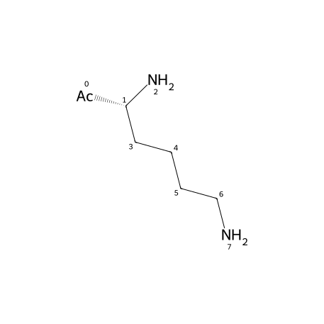 CC(=O)[C@H](N)CCCCN